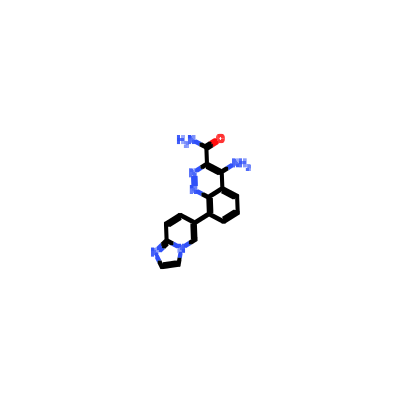 NC(=O)c1nnc2c(-c3ccc4nccn4c3)cccc2c1N